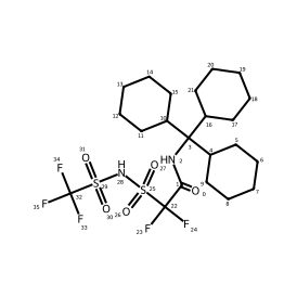 O=C(NC(C1CCCCC1)(C1CCCCC1)C1CCCCC1)C(F)(F)S(=O)(=O)NS(=O)(=O)C(F)(F)F